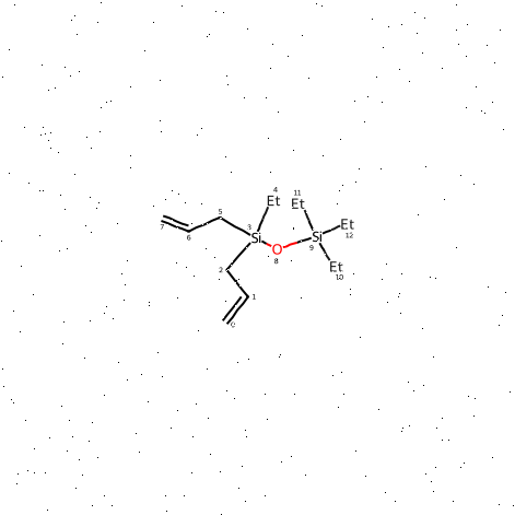 C=CC[Si](CC)(CC=C)O[Si](CC)(CC)CC